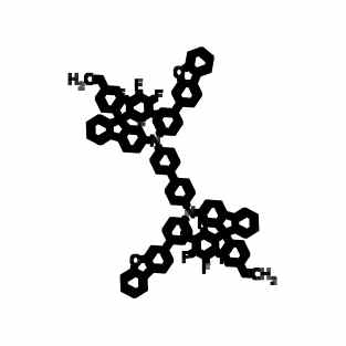 C=Cc1ccc(C2(c3c(F)c(F)c(F)c(F)c3F)c3ccccc3-c3ccc(N(c4ccc(-c5ccc(N(c6ccc(-c7ccc8c(c7)oc7ccccc78)cc6)c6ccc7c(c6)C(c6ccc(C=C)cc6)(c6c(F)c(F)c(F)c(F)c6F)c6ccccc6-7)cc5)cc4)c4ccc(-c5ccc6c(c5)oc5ccccc56)cc4)cc32)cc1